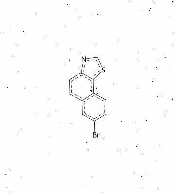 Brc1ccc2c(ccc3ncsc32)c1